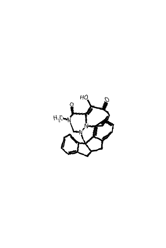 CN1CN(C23c4ccccc4CC2Cc2ccccc23)n2ccc(=O)c(O)c2C1=O